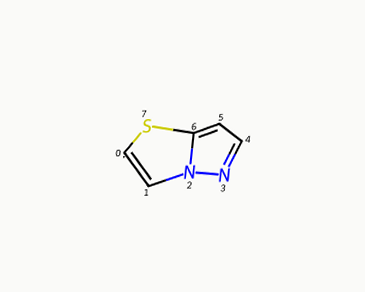 [c]1cn2nccc2s1